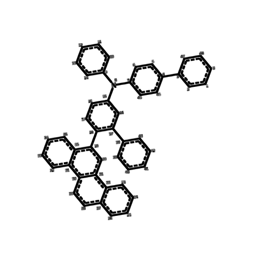 c1ccc(-c2ccc(N(c3ccccc3)c3ccc(-c4cc5c6ccccc6ccc5c5ccccc45)c(-c4ccccc4)c3)cc2)cc1